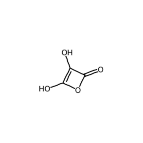 O=C1OC(O)=C1O